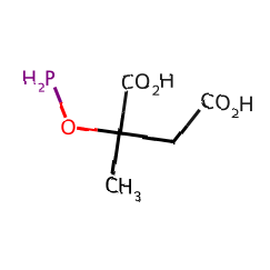 CC(CC(=O)O)(OP)C(=O)O